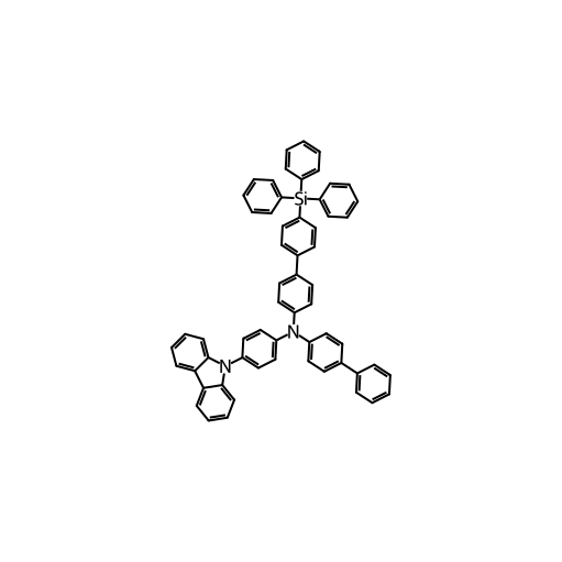 c1ccc(-c2ccc(N(c3ccc(-c4ccc([Si](c5ccccc5)(c5ccccc5)c5ccccc5)cc4)cc3)c3ccc(-n4c5ccccc5c5ccccc54)cc3)cc2)cc1